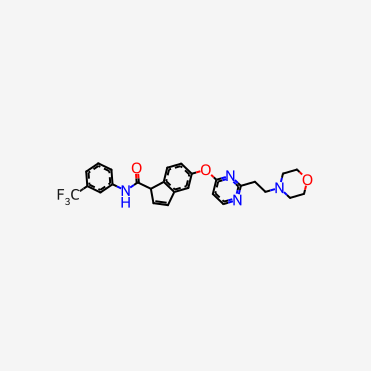 O=C(Nc1cccc(C(F)(F)F)c1)C1C=Cc2cc(Oc3ccnc(CCN4CCOCC4)n3)ccc21